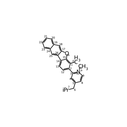 Cc1c(-c2cc(CC(C)C)cc[n+]2C)ccc2c1oc1cc3ccccc3cc12